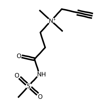 C#CC[N+](C)(C)CCC(=O)NS(C)(=O)=O